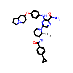 C[C@@H]1[C@H](NC(=O)c2ccc(C3CC3)cc2)CCCN1c1cnc(C(N)=O)c(Nc2ccc(OC3CCN4CCCC4C3)cc2)n1